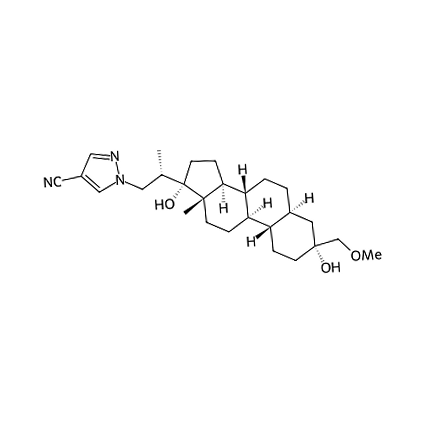 COC[C@@]1(O)CC[C@H]2[C@@H](CC[C@@H]3[C@@H]2CC[C@@]2(C)[C@H]3CC[C@]2(O)[C@@H](C)Cn2cc(C#N)cn2)C1